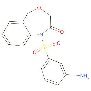 Nc1cccc(S(=O)(=O)N2C(=O)COCc3ccccc32)c1